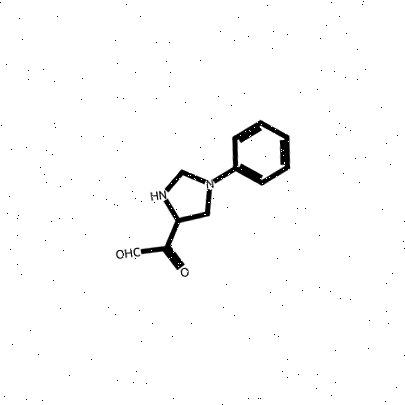 O=CC(=O)C1CN(c2ccccc2)CN1